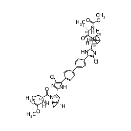 CC[C@H](NC(=O)OC)C(=O)N1[C@H](c2nc(Cl)c(-c3ccc(-c4ccc(-c5[nH]c([C@@H]6C[C@H]7C[C@H]7N6C(=O)[C@H](CC)NC(=O)OC)nc5Cl)cc4)cc3)[nH]2)C2C3[C@H]2[C@@H]31